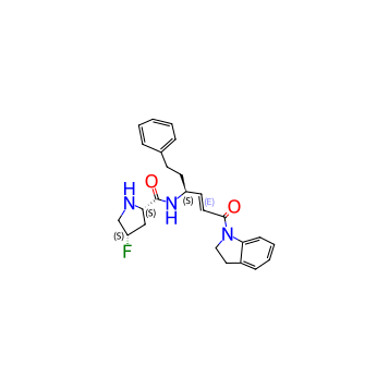 O=C(N[C@H](/C=C/C(=O)N1CCc2ccccc21)CCc1ccccc1)[C@@H]1C[C@H](F)CN1